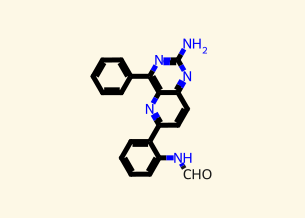 Nc1nc(-c2ccccc2)c2nc(-c3ccccc3NC=O)ccc2n1